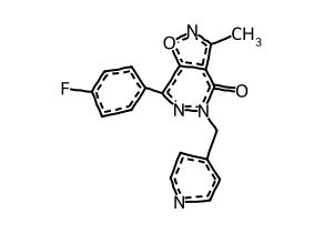 Cc1noc2c(-c3ccc(F)cc3)nn(Cc3ccncc3)c(=O)c12